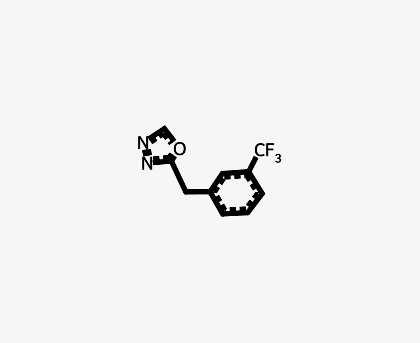 FC(F)(F)c1cccc(Cc2nnco2)c1